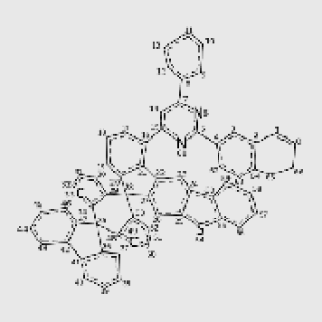 C1=Cc2cc(-c3nc(-c4ccccc4)cc(-c4cccc5c4-c4cc6c(cc4C54c5ccccc5C5(c7ccccc7-c7ccccc75)c5ccccc54)sc4ccccc46)n3)ccc2CC1